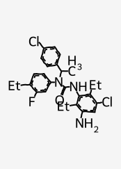 CCc1ccc(N(C(=O)Nc2c(CC)c(N)cc(Cl)c2CC)C(C)c2ccc(Cl)cc2)cc1F